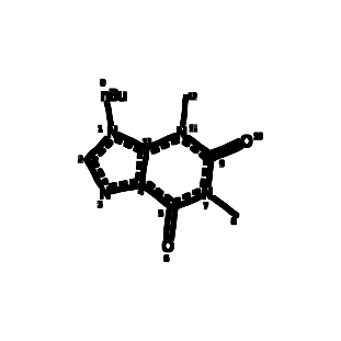 CCCCn1cnc2c(=O)n(C)c(=O)n(C)c21